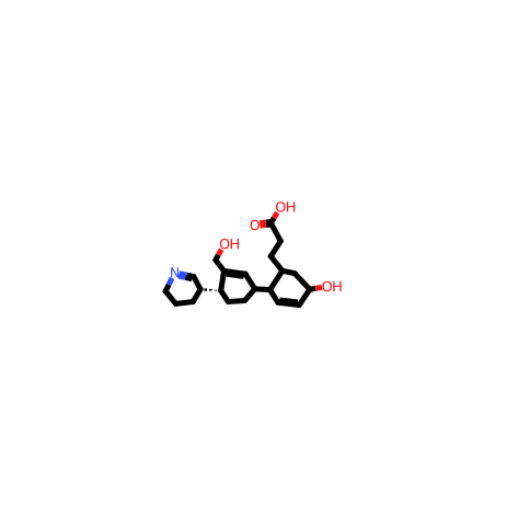 O=C(O)CCC1CC(O)C=CC1C1C=C(CO)[C@@H](C2C=NCCC2)CC1